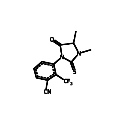 CC1C(=O)N(c2cccc(C#N)c2C(F)(F)F)C(=S)N1C